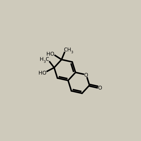 CC1(O)C=c2ccc(=O)oc2=CC1(C)O